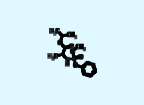 CO[P@](=O)(N[C@@H](C)C(=O)OC(C)C)Oc1ccccc1